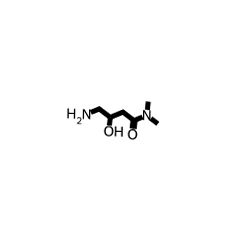 CN(C)C(=O)CC(O)CN